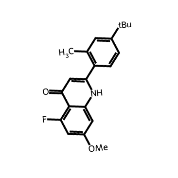 COc1cc(F)c2c(=O)cc(-c3ccc(C(C)(C)C)cc3C)[nH]c2c1